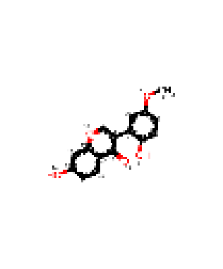 COc1ccc(O)c(-c2coc3cc(O)ccc3c2=O)c1